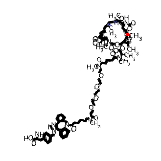 COc1cc2cc(c1Cl)N(C)C(=O)C[C@H](OC(=O)[C@H](C)N(C)C(=O)CCCC(=O)N(C)CCOCCOCCOCCOCCC(=O)N(C)CCCCCC(=O)N1Cc3ccccc3-c3nnn(Cc4ccc(CC(N)C(=O)O)cc4)c3-c3ccccc31)C1C(C)O[C@H]1[C@H](C)[C@@H]1C[C@@](O)(NC(=O)O1)[C@H](OC)/C=C/C=C(\C)C2